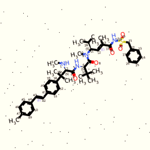 CN[C@H](C(=O)N[C@H](C(=O)N(C)[C@H](/C=C(\C)C(=O)NS(=O)(=O)Cc1ccccc1)C(C)C)C(C)(C)C)C(C)(C)c1ccc(/C=C/c2ccc(C)cc2)cc1